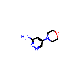 Nc1cc(N2CCOCC2)cnn1